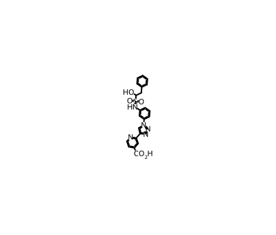 O=C(O)c1ccnc(-c2cn(-c3cccc(NS(=O)(=O)C(O)Cc4ccccc4)c3)nn2)c1